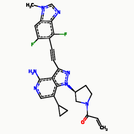 C=CC(=O)N1CC[C@H](n2nc(C#Cc3c(F)cc4c(ncn4C)c3F)c3c(N)ncc(C4CC4)c32)C1